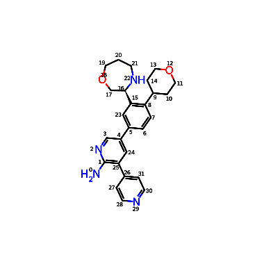 Nc1ncc(-c2ccc(C3CCOCC3)c([C@H]3COCCCN3)c2)cc1-c1ccncc1